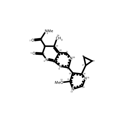 CNC(=O)C1C(=O)N=c2nc(-c3c(OC)ncnc3C3CC3)ncc2=C1C